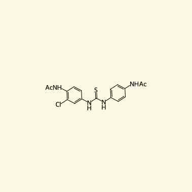 CC(=O)Nc1ccc(NC(=S)Nc2ccc(NC(C)=O)c(Cl)c2)cc1